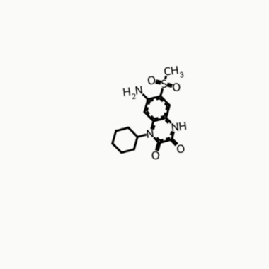 CS(=O)(=O)c1cc2[nH]c(=O)c(=O)n(C3CCCCC3)c2cc1N